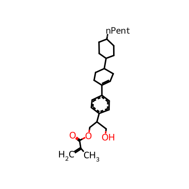 C=C(C)C(=O)OCC(CO)c1ccc(C2=CCC(C3CCC(CCCCC)CC3)CC2)cc1